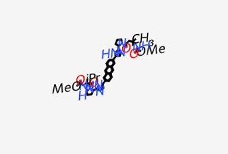 COC(=O)NCC(C)CC(=O)N1CCCC1c1ncc(-c2ccc3cc4cc(-c5cnc(C6CCCN6C(=O)C(NC(=O)OC)C(C)C)[nH]5)ccc4cc3c2)[nH]1